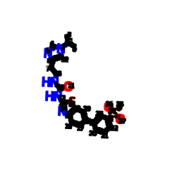 CC(C)n1cnc(CCNC(=O)Nc2nc3ccc(-c4cccc(S(C)(=O)=O)c4)cc3s2)c1